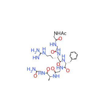 CC(=O)NCC(=O)NCC(=O)N[C@@H](CCCNC(=N)N)C(=O)N[C@H](Cc1ccccc1)C(=O)NCC(=O)N[C@@H](C)C(=O)NCC(N)=O